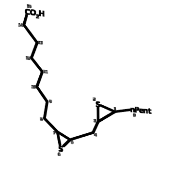 CCCCCC1SC1CC1SC1CCCCCCCC(=O)O